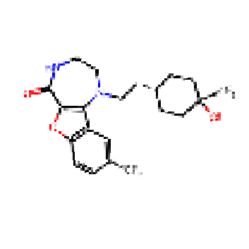 O=C1NCCN(CC[C@H]2CC[C@](O)(C(F)(F)F)CC2)c2c1oc1ccc(C(F)(F)F)cc21